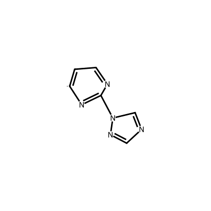 [c]1ccnc(-n2cncn2)n1